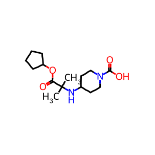 CC(C)(NC1CCN(C(=O)O)CC1)C(=O)OC1CCCC1